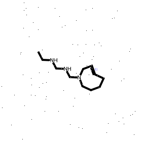 CCNCNCN1C/C=C/CCCC1